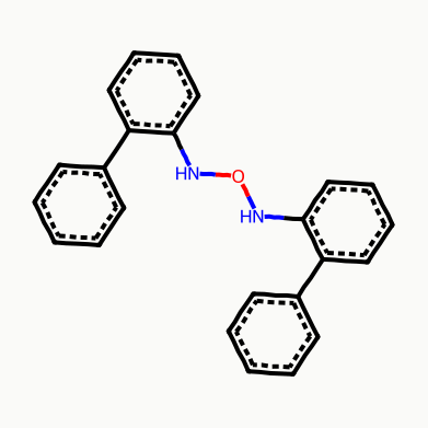 c1ccc(-c2ccccc2NONc2ccccc2-c2ccccc2)cc1